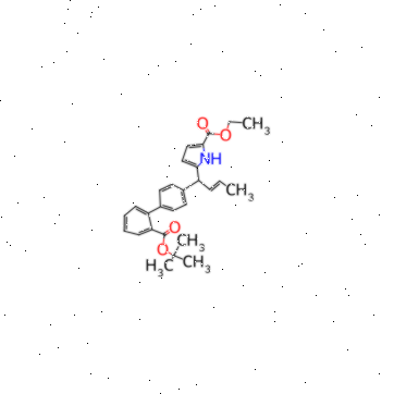 CC=CC(c1ccc(-c2ccccc2C(=O)OC(C)(C)C)cc1)c1ccc(C(=O)OCC)[nH]1